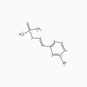 CP(C)(=O)C/C=C/c1cccc(S)c1